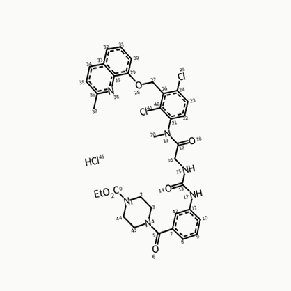 CCOC(=O)N1CCN(C(=O)c2cccc(NC(=O)NCC(=O)N(C)c3ccc(Cl)c(COc4cccc5ccc(C)nc45)c3Cl)c2)CC1.Cl